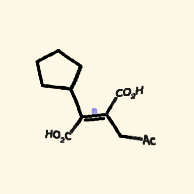 CC(=O)C/C(C(=O)O)=C(\C(=O)O)C1CCCC1